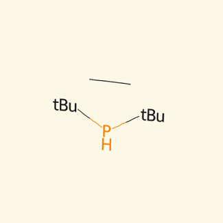 CC.CC(C)(C)PC(C)(C)C